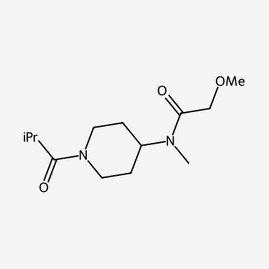 COCC(=O)N(C)C1CCN(C(=O)C(C)C)CC1